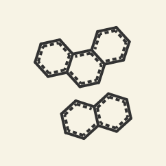 c1ccc2c(c1)ccc1ccccc12.c1ccc2ccccc2c1